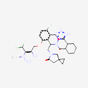 CN(N)/C(=C(\N)COc1ccc(Cl)c2c1C(CN1CC3(CC3)CC1=O)N(C(=O)C1CCCCC1c1nnn[nH]1)CC2)C(F)F